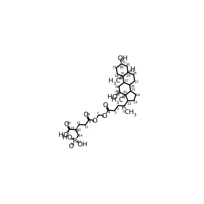 C[C@H](CCC(=O)OCOC(=O)CC[C@@H](CP(=O)(O)O)C(=O)O)C1CCC2C3CC[C@@H]4C[C@H](O)CC[C@]4(C)C3C[C@H](O)[C@@]21C